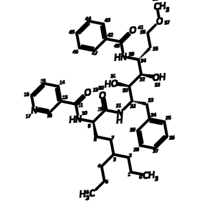 CCCC(CCC)CC[C@@H](NC(=O)c1cccnc1)C(=O)N[C@@H](Cc1ccccc1)[C@@H](O)[C@H](O)[C@@H](CCOC)NC(=O)c1ccccc1